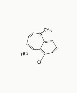 CN1C=CC=Cc2c(Cl)cccc21.Cl